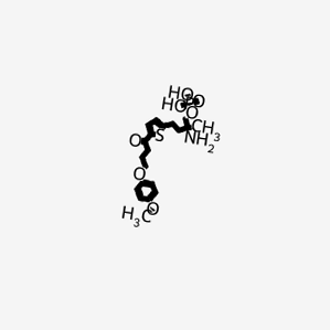 COc1ccc(OCCCC(=O)c2ccc(CCC(C)(N)COP(=O)(O)O)s2)cc1